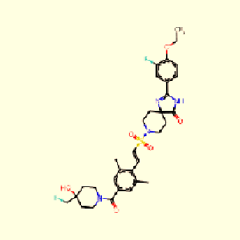 Cc1cc(C(=O)N2CCC(O)(CF)CC2)cc(C)c1C=CS(=O)(=O)N1CCC2(CC1)N=C(c1ccc(OCC(F)(F)F)c(F)c1)NC2=O